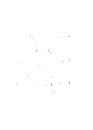 O=P(O)(O)OP(=O)(O)O.c1ccn2nncc2c1